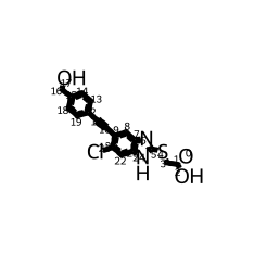 O=C(O)CSc1nc2cc(C#Cc3ccc(CO)cc3)c(Cl)cc2[nH]1